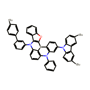 CC(C)(C)c1ccc(-c2cccc(N3c4cccc5c4B(c4ccc(-n6c7ccc(C(C)(C)C)cc7c7cc(C(C)(C)C)ccc76)cc4N5c4ccccc4)c4oc5ccccc5c43)c2)cc1